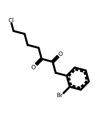 O=C(CCCCCl)C(=O)Cc1ccccc1Br